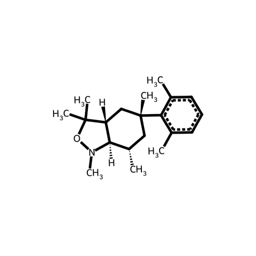 Cc1cccc(C)c1[C@@]1(C)C[C@@H]2[C@@H]([C@@H](C)C1)N(C)OC2(C)C